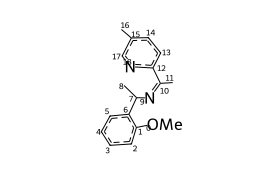 COc1ccccc1C(C)N=C(C)c1ccc(C)cn1